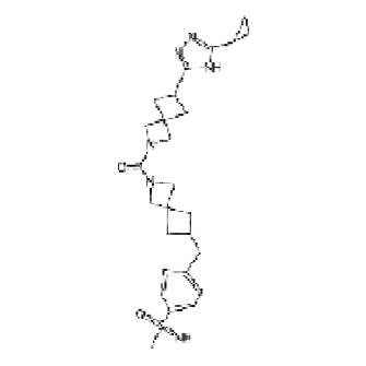 CS(=N)(=O)c1ccc(CC2CC3(C2)CN(C(=O)N2CC4(CC(c5nnc(C6CC6)[nH]5)C4)C2)C3)cc1